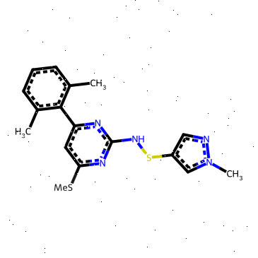 CSc1cc(-c2c(C)cccc2C)nc(NSc2cnn(C)c2)n1